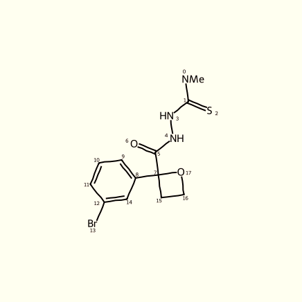 CNC(=S)NNC(=O)C1(c2cccc(Br)c2)CCO1